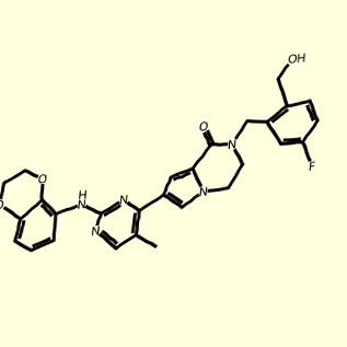 Cc1cnc(Nc2cccc3c2OCCO3)nc1-c1cc2n(c1)CCN(Cc1cc(F)ccc1CO)C2=O